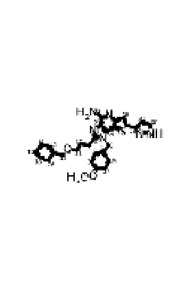 COc1ccc(Cn2c(CCCOCc3ccccc3)nc3c(N)nc4cc(-c5cc[nH]n5)sc4c32)cc1